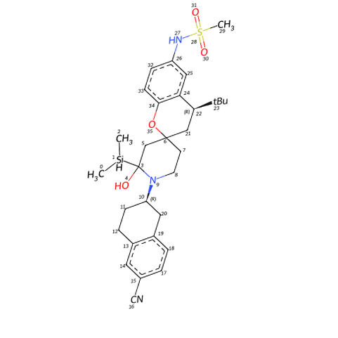 C[SiH](C)C1(O)CC2(CCN1[C@@H]1CCc3cc(C#N)ccc3C1)C[C@H](C(C)(C)C)c1cc(NS(C)(=O)=O)ccc1O2